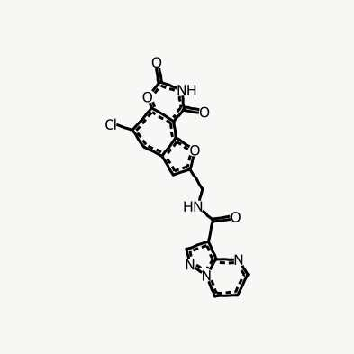 O=C(NCc1cc2cc(Cl)c3oc(=O)[nH]c(=O)c3c2o1)c1cnn2cccnc12